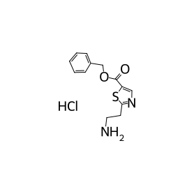 Cl.NCCc1ncc(C(=O)OCc2ccccc2)s1